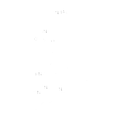 CC(=O)NC1CCN(S(=O)(=O)c2ccc(Nc3cc(-c4ccccc4)nc4cc(C)nn34)cc2)C1